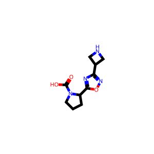 O=C(O)N1CCCC1c1nc(C2CNC2)no1